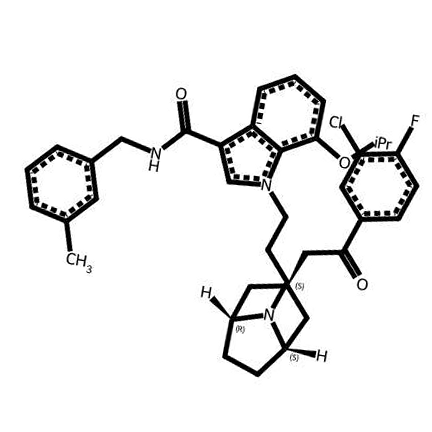 Cc1cccc(CNC(=O)c2cn(CCCN3[C@@H]4CC[C@H]3C[C@H](CC(=O)c3ccc(F)c(Cl)c3)C4)c3c(OC(C)C)cccc23)c1